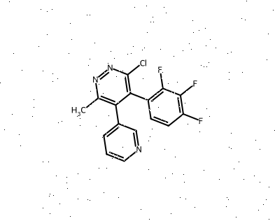 Cc1nnc(Cl)c(-c2ccc(F)c(F)c2F)c1-c1cccnc1